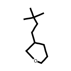 CC(C)(C)CCC1CCCOC1